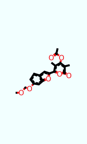 COCOc1ccc2cc(-c3oc(=O)c(C)c(OC(C)=O)c3C)oc2c1